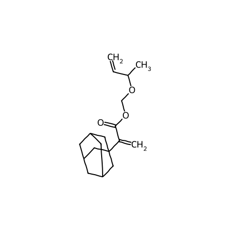 C=CC(C)OCOC(=O)C(=C)C12CC3CC(CC(C3)C1)C2